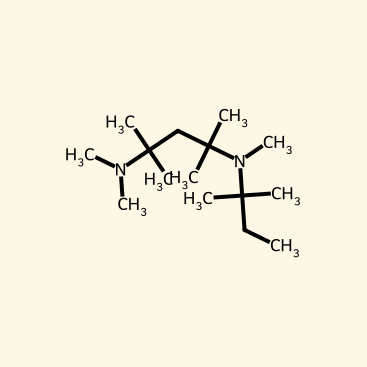 CCC(C)(C)N(C)C(C)(C)CC(C)(C)N(C)C